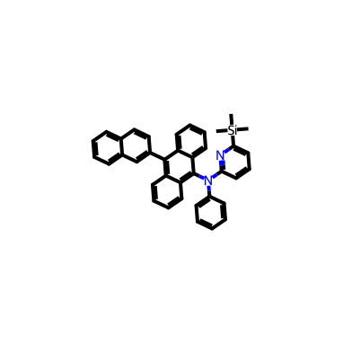 C[Si](C)(C)c1cccc(N(c2ccccc2)c2c3ccccc3c(-c3ccc4ccccc4c3)c3ccccc23)n1